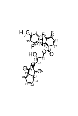 Cc1ccc(Nc2c(C(=O)OC[C@H](O)CON3C(=O)c4ccccc4C3=O)ccc(F)c2F)c(F)c1